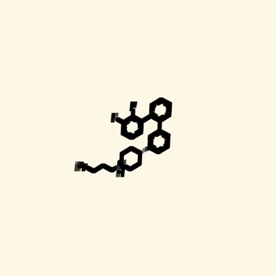 CC(C)CCC[Si@H]1CC[C@H](c2cccc(-c3ccccc3-c3cccc(F)c3F)c2)CC1